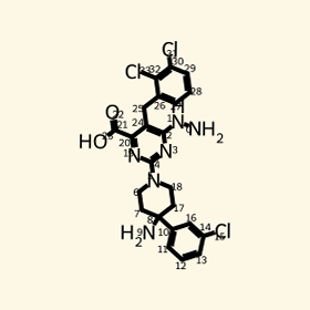 NNc1nc(N2CCC(N)(c3cccc(Cl)c3)CC2)nc(C(=O)O)c1Cc1cccc(Cl)c1Cl